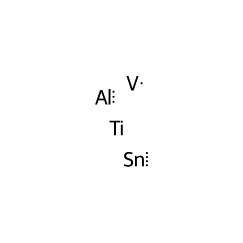 [Al].[Sn].[Ti].[V]